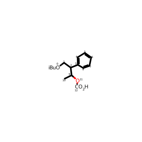 CC(C)COCC(c1ccccc1)C(C)OC(=O)O